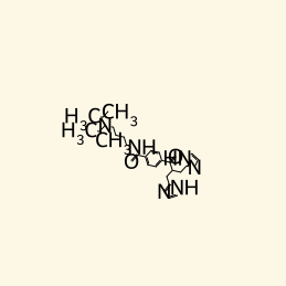 CC(C)N(CCCCNC(=O)c1ccc(C(=O)C(Cc2ncc[nH]2)Cc2ncc[nH]2)cc1)C(C)C